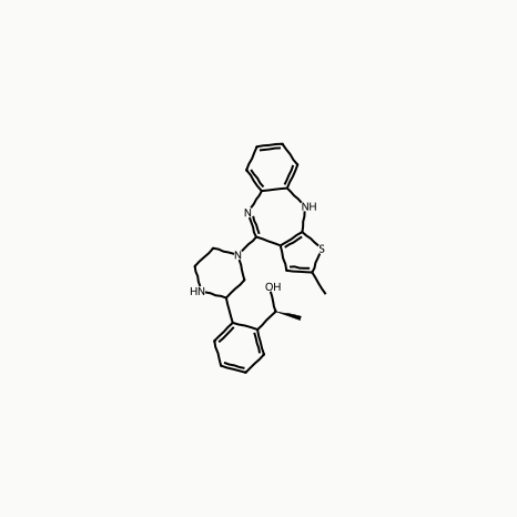 Cc1cc2c(s1)Nc1ccccc1N=C2N1CCNC(c2ccccc2[C@H](C)O)C1